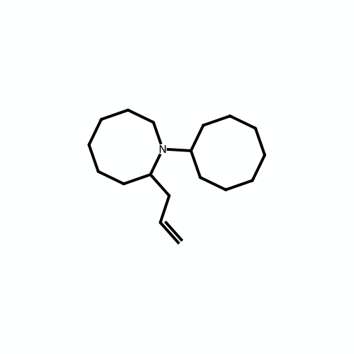 C=CCC1CCCCCCN1C1CCCCCCC1